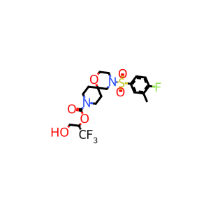 Cc1cc(S(=O)(=O)N2CCOC3(CCN(C(=O)OC(CO)C(F)(F)F)CC3)C2)ccc1F